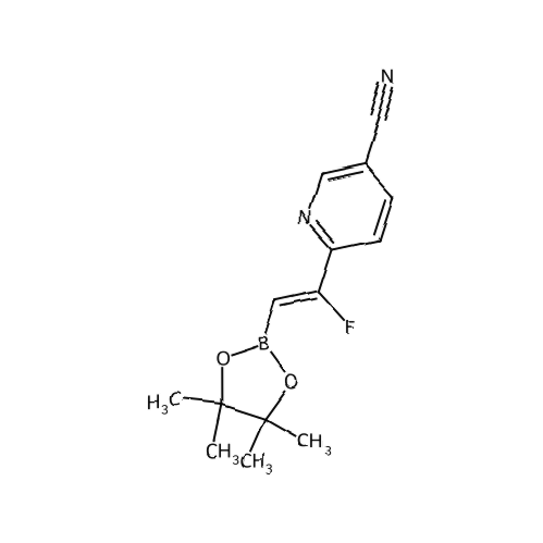 CC1(C)OB(C=C(F)c2ccc(C#N)cn2)OC1(C)C